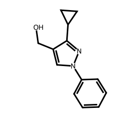 OCc1cn(-c2ccccc2)nc1C1CC1